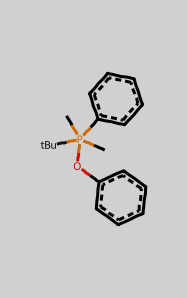 CC(C)(C)P(C)(C)(Oc1ccccc1)c1ccccc1